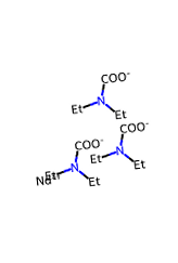 CCN(CC)C(=O)[O-].CCN(CC)C(=O)[O-].CCN(CC)C(=O)[O-].[Nd+3]